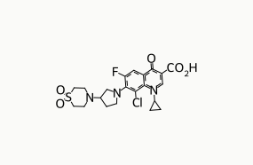 O=C(O)c1cn(C2CC2)c2c(Cl)c(N3CCC(N4CCS(=O)(=O)CC4)C3)c(F)cc2c1=O